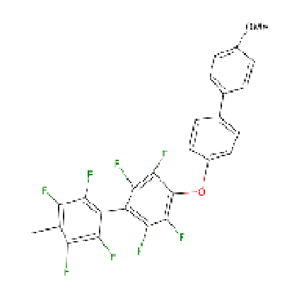 COc1ccc(-c2ccc(Oc3c(F)c(F)c(-c4c(F)c(F)c(C)c(F)c4F)c(F)c3F)cc2)cc1